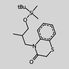 CC(CO[Si](C)(C)C(C)(C)C)CN1C(=O)CSc2ccccc21